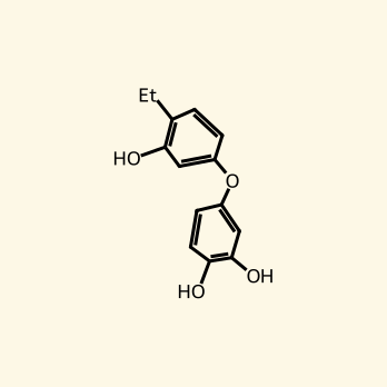 CCc1ccc(Oc2ccc(O)c(O)c2)cc1O